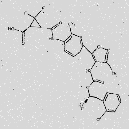 Cc1nc(-c2onc(C)c2NC(=O)O[C@H](C)c2ccccc2Cl)ccc1NC(=O)[C@@H]1[C@@H](C(=O)O)C1(F)F